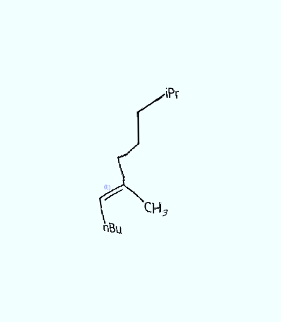 C[CH]CC/C=C(\C)CCCC(C)C